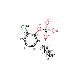 [Na+].[Na+].[Na+].[O-][Si]([O-])([O-])Oc1ccccc1Cl